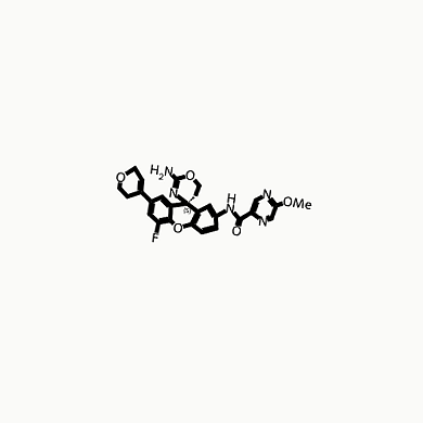 COc1cnc(C(=O)Nc2ccc3c(c2)[C@@]2(CCOC(N)=N2)c2cc(C4=CCOCC4)cc(F)c2O3)cn1